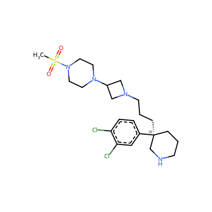 CS(=O)(=O)N1CCN(C2CN(CCC[C@]3(c4ccc(Cl)c(Cl)c4)CCCNC3)C2)CC1